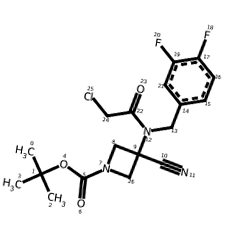 CC(C)(C)OC(=O)N1CC(C#N)(N(Cc2ccc(F)c(F)c2)C(=O)CCl)C1